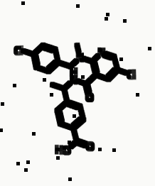 CC(NC(=O)c1cc(Cl)cnc1N(C)Cc1ccc(Cl)cc1)c1ccc(C(=O)O)cc1